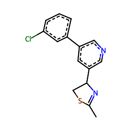 CC1=NC(c2cncc(-c3cccc(Cl)c3)c2)CS1